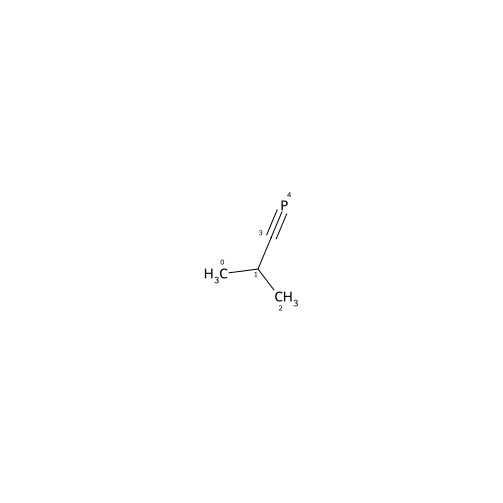 CC(C)C#P